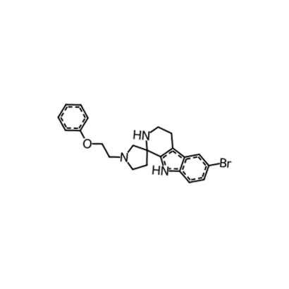 Brc1ccc2[nH]c3c(c2c1)CCNC31CCN(CCOc2ccccc2)C1